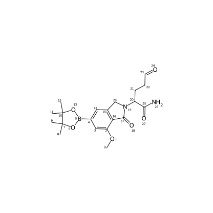 COc1cc(B2OC(C)(C)C(C)(C)O2)cc2c1C(=O)N(C(CCC=O)C(N)=O)C2